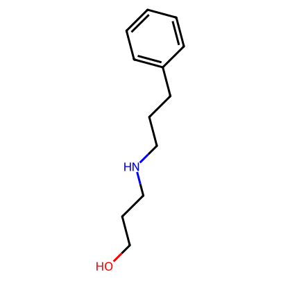 OCCCNCCCc1ccccc1